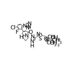 CC(C)(C)[Si](C)(C)OCc1cnc(-c2c[nH]c([C@@H]3CC[C@@H]4CC(c5c(-n6cnnn6)ccc(Cl)c5F)=CC(=O)N43)n2)s1